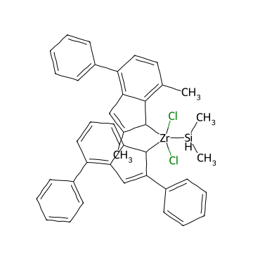 CC1=Cc2c(-c3ccccc3)ccc(C)c2[CH]1[Zr]([Cl])([Cl])([CH]1C(c2ccccc2)=Cc2c(-c3ccccc3)cccc21)[SiH](C)C